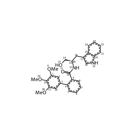 COc1cc(-c2ccccc2C(=O)N[C@@H](CO)Cc2c[nH]c3ccccc23)cc(OC)c1OC